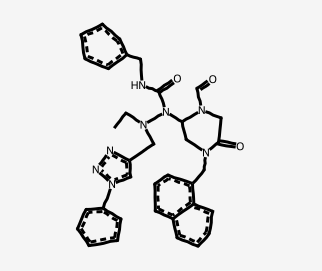 CCN(Cc1cn(-c2ccccc2)nn1)N(C(=O)NCc1ccccc1)C1CN(Cc2cccc3ccccc23)C(=O)CN1C=O